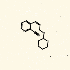 N#Cc1ccccc1/C=C\COC1CCCCO1